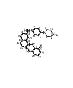 CN1CCN(c2ccc(Nc3ccc4ccc(=O)n(Cc5c(F)cccc5F)c4c3)cc2)CC1